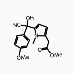 COC(=O)Cc1ccc(C(O)(C#N)c2ccc(OC)cc2)n1C